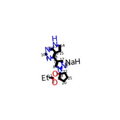 CCC(=O)OC1(n2cc(-c3ncnc4[nH]ccc34)cn2)CCCC1.[NaH]